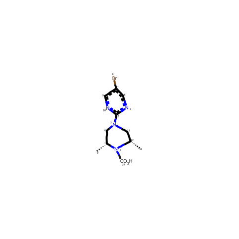 C[C@@H]1CN(c2ncc(Br)cn2)C[C@H](C)N1C(=O)O